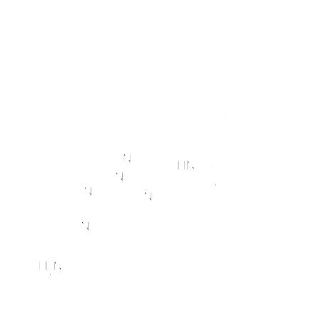 C=C(C)c1cc(C)ccc1CCC(=O)NCCN(C)c1c(F)c(N2CC(N)C2)nc2cc(C(C)CCCCC)nn12